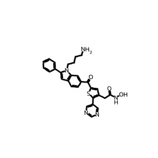 NCCCCn1c(-c2ccccc2)cc2ccc(C(=O)c3cc(CC(=O)NO)c(-c4cncnc4)s3)cc21